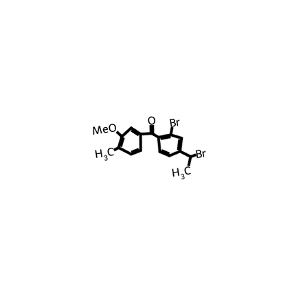 COc1cc(C(=O)c2ccc(C(C)Br)cc2Br)ccc1C